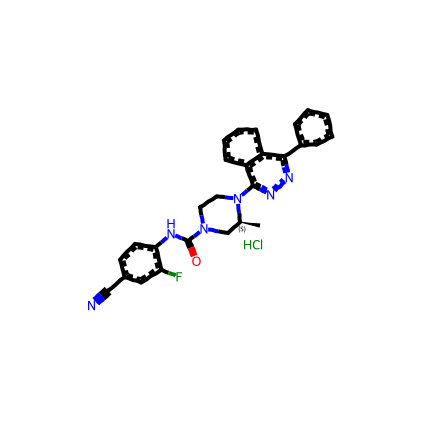 C[C@H]1CN(C(=O)Nc2ccc(C#N)cc2F)CCN1c1nnc(-c2ccccc2)c2ccccc12.Cl